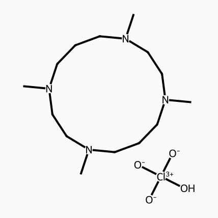 CN1CCCN(C)CCN(C)CCCN(C)CC1.[O-][Cl+3]([O-])([O-])O